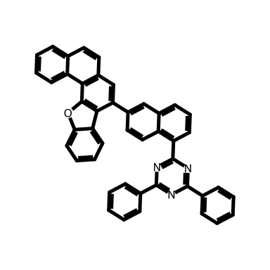 c1ccc(-c2nc(-c3ccccc3)nc(-c3cccc4cc(-c5cc6ccc7ccccc7c6c6oc7ccccc7c56)ccc34)n2)cc1